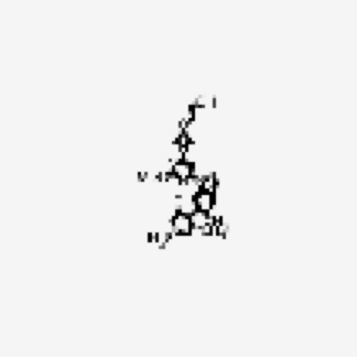 COc1nc(N2CC(OCCO)C2)cc(-n2ncc3cc(C)c(C4C(F)CN(C)C[C@H]4C)cc32)n1